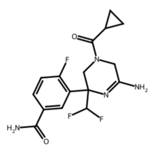 NC(=O)c1ccc(F)c(C2(C(F)F)CN(C(=O)C3CC3)CC(N)=N2)c1